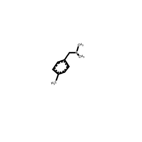 CB(C)Cc1ccc(C)cc1